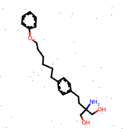 NC(CO)(CO)CCc1ccc(CCCCCCOc2ccccc2)cc1